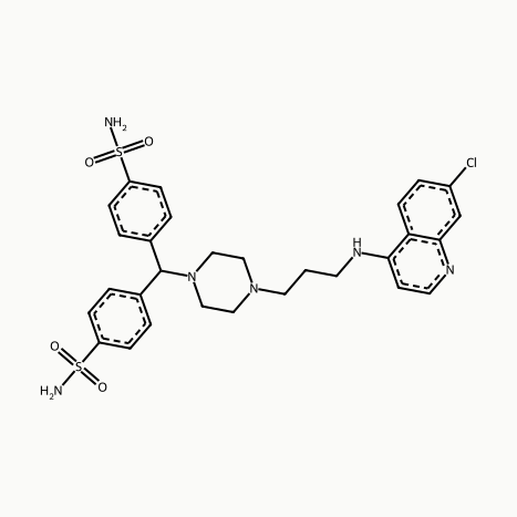 NS(=O)(=O)c1ccc(C(c2ccc(S(N)(=O)=O)cc2)N2CCN(CCCNc3ccnc4cc(Cl)ccc34)CC2)cc1